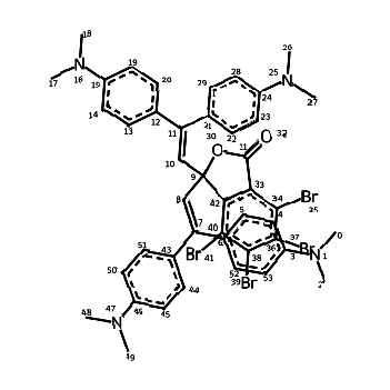 CN(C)c1ccc(C(=CC2(C=C(c3ccc(N(C)C)cc3)c3ccc(N(C)C)cc3)OC(=O)c3c(Br)c(Br)c(Br)c(Br)c32)c2ccc(N(C)C)cc2)cc1